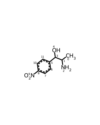 CC(N)C(O)c1ccc([N+](=O)[O-])cc1